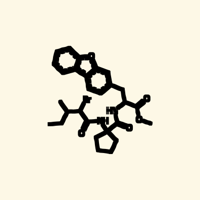 CCC(C)C(Br)C(=O)NC1(C(=O)NC(Cc2ccc3c(c2)oc2ccccc23)C(=O)OC)CCCC1